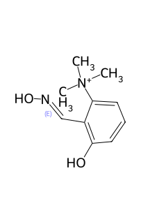 C[N+](C)(C)c1cccc(O)c1/C=N/O